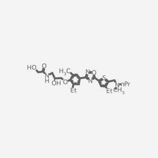 CCCN(C)Cc1sc(-c2nc(-c3cc(C)c(OC[C@@H](O)CNC(=O)CO)c(CC)c3)no2)cc1CC